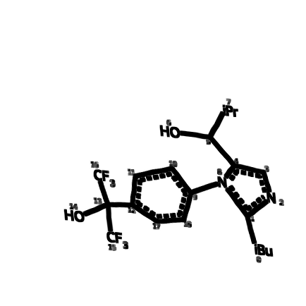 CCC(C)c1ncc(C(O)C(C)C)n1-c1ccc(C(O)(C(F)(F)F)C(F)(F)F)cc1